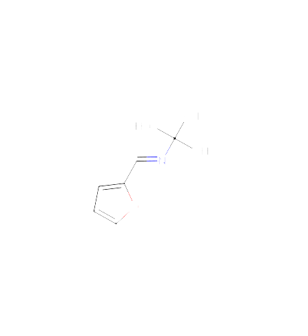 CC(C)(C)/N=C/c1ccco1